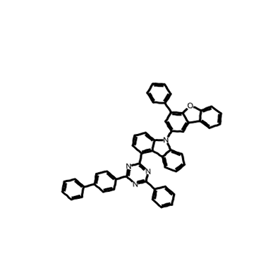 c1ccc(-c2ccc(-c3nc(-c4ccccc4)nc(-c4cccc5c4c4ccccc4n5-c4cc(-c5ccccc5)c5oc6ccccc6c5c4)n3)cc2)cc1